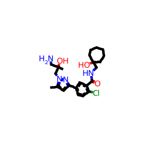 Cc1cc(-c2ccc(Cl)c(C(=O)NCC3(O)CCCCCC3)c2)nn1CC(C)(O)CN